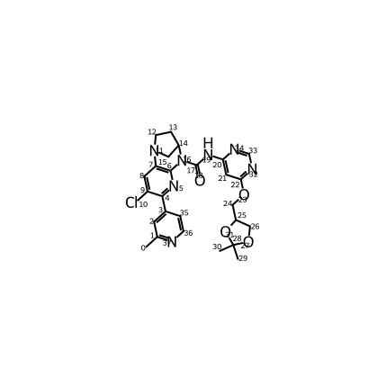 Cc1cc(-c2nc3c(cc2Cl)N2CCC(C2)N3C(=O)Nc2cc(OCC3COC(C)(C)O3)ncn2)ccn1